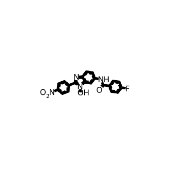 O=C(Nc1ccc2nc(-c3ccc([N+](=O)[O-])cc3)n(O)c2c1)c1ccc(F)cc1